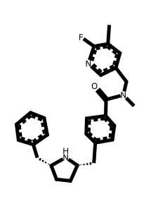 Cc1cc(CN(C)C(=O)c2ccc(C[C@@H]3CC[C@H](Cc4ccccc4)N3)cc2)cnc1F